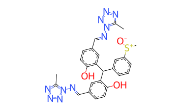 Cc1nnnn1N=Cc1ccc(O)c(C(c2cccc([S+](C)[O-])c2)c2cc(C=Nn3nnnc3C)ccc2O)c1